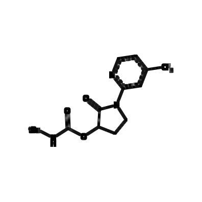 CC(C)(C)NC(=O)OC1CCN(c2cc(C(F)(F)F)ccn2)C1=O